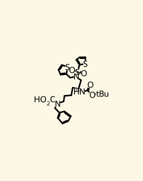 CC(C)(C)OC(=O)N[C@@H](CCCCN(Cc1ccccc1)C(=O)O)CN(Cc1cccs1)S(=O)(=O)c1cccs1